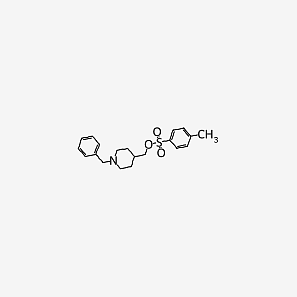 Cc1ccc(S(=O)(=O)OCC2CCN(Cc3ccccc3)CC2)cc1